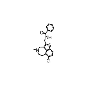 CN1CCc2c(Cl)ccc3sc(CNC(=O)c4ccccc4)c(c23)C1